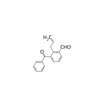 C=CCc1c([C]=O)cccc1C(=O)c1ccccc1